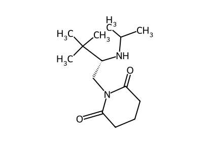 CC(C)N[C@H](CN1C(=O)CCCC1=O)C(C)(C)C